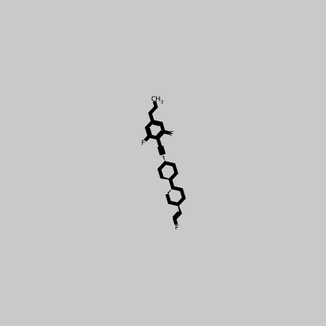 CCCc1cc(F)c(C#C[C@H]2CC[C@H]([C@H]3CC[C@H](C=CF)CC3)CC2)c(F)c1